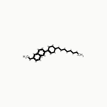 CCCCCCCCC1CC=C(c2ccc3cc(CC)ccc3c2)CC1